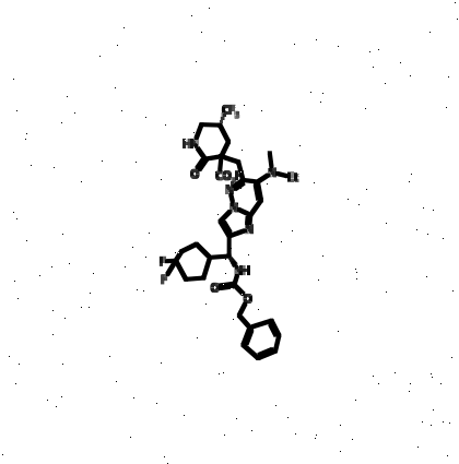 CCN(C)c1cc2nc([C@@H](NC(=O)OCc3ccccc3)C3CCC(F)(F)CC3)cn2nc1CC1(C(=O)O)C[C@@H](C(F)(F)F)CNC1=O